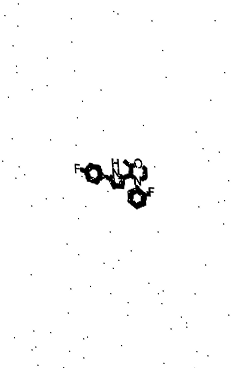 CC1OCCN(c2ccccc2F)C1c1ccc(-c2ccc(F)cc2)[nH]1